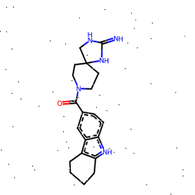 N=C1NCC2(CCN(C(=O)c3ccc4[nH]c5c(c4c3)CCCC5)CC2)N1